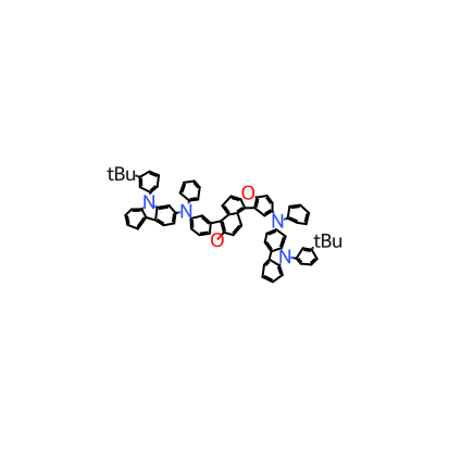 CC(C)(C)c1cccc(-n2c3ccccc3c3ccc(N(c4ccccc4)c4ccc5oc6ccc7c(ccc8oc9ccc(N(c%10ccccc%10)c%10ccc%11c%12ccccc%12n(-c%12cccc(C(C)(C)C)c%12)c%11c%10)cc9c87)c6c5c4)cc32)c1